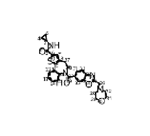 O=C(NC1CC1)c1cc2c(s1)-c1ccccc1N(C(O)c1ccc3nc(CN4CCOCC4)oc3c1)CC2